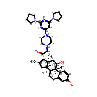 C[C@@H]1C[C@H]2[C@@H]3CCC4=CC(=O)C=C[C@]4(C)[C@H]3[C@H](O)C[C@]2(C)[C@H]1C(=O)CN1CCN(c2cc(N3CCCC3)nc(N3CCCC3)n2)CC1